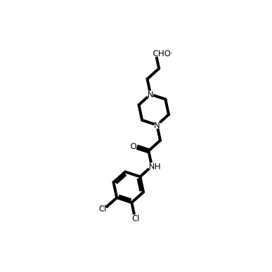 O=[C]CCN1CCN(CC(=O)Nc2ccc(Cl)c(Cl)c2)CC1